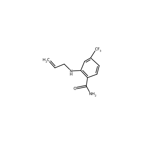 C=CCNc1cc(C(F)(F)F)ccc1C(N)=O